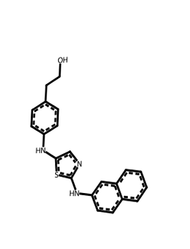 OCCc1ccc(Nc2cnc(Nc3ccc4ccccc4c3)s2)cc1